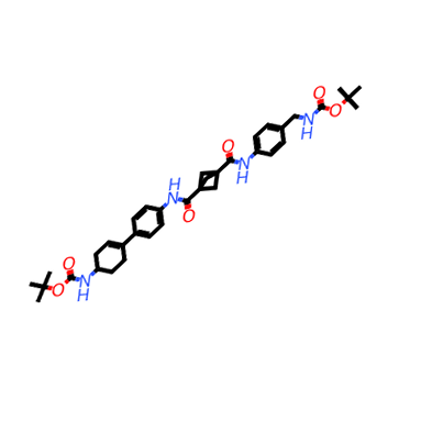 CC(C)(C)OC(=O)NCc1ccc(NC(=O)C23CC(C(=O)Nc4ccc(C5=CCC(NC(=O)OC(C)(C)C)CC5)cc4)(C2)C3)cc1